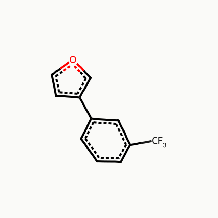 FC(F)(F)c1cccc(-c2ccoc2)c1